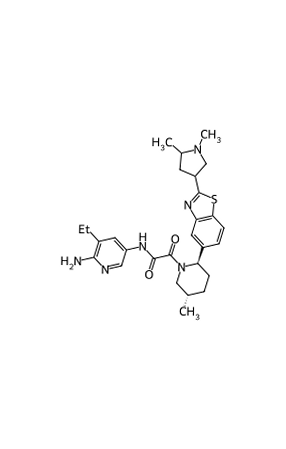 CCc1cc(NC(=O)C(=O)N2C[C@@H](C)CC[C@@H]2c2ccc3sc(C4CC(C)N(C)C4)nc3c2)cnc1N